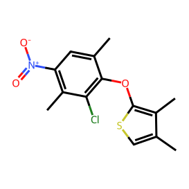 Cc1csc(Oc2c(C)cc([N+](=O)[O-])c(C)c2Cl)c1C